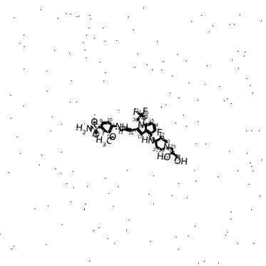 COc1cc(S(N)(=O)=O)ccc1NCC#Cc1cc2c(N[C@@H]3CCN(C[C@@H](O)CO)C[C@@H]3F)cccc2n1CC(F)(F)F